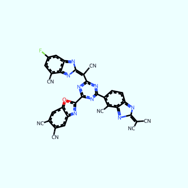 N#CC(C#N)=C1N=c2ccc(-c3nc(/C(C#N)=C4/N=c5cc(F)cc(C#N)c5=N4)nc(-c4nc5cc(C#N)c(C#N)cc5o4)n3)c(C#N)c2=N1